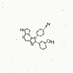 N#Cc1ccc(-n2c(-c3cccc(O)c3)nc3cnc4[nH]ccc4c32)cc1